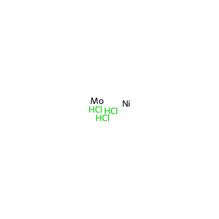 Cl.Cl.Cl.[Mo].[Ni]